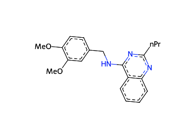 CCCc1nc(NCc2ccc(OC)c(OC)c2)c2ccccc2n1